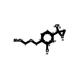 COCOCc1ccc(C2(C(F)(F)F)CO2)nc1Cl